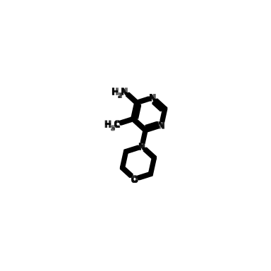 Cc1c(N)ncnc1N1CCOCC1